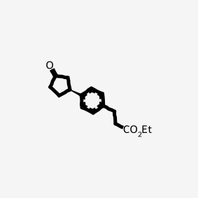 CCOC(=O)CCc1ccc([C@H]2CCC(=O)C2)cc1